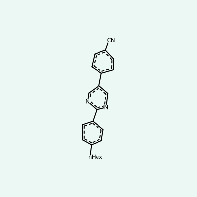 CCCCCCc1ccc(-c2ncc(-c3ccc(C#N)cc3)cn2)cc1